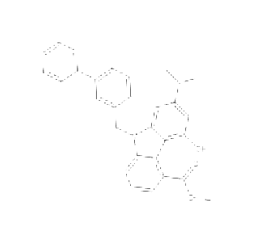 COC(=O)c1cccc2c1c1c(O)cc(C(C)C)cc1n2Cc1cccc(-c2ccccc2)c1